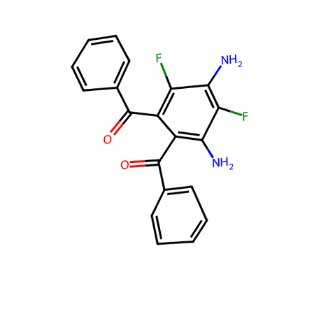 Nc1c(F)c(N)c(C(=O)c2ccccc2)c(C(=O)c2ccccc2)c1F